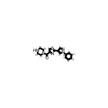 O=C(c1csc(-c2cnn(-c3ccccc3)c2)n1)N1CCNCC1